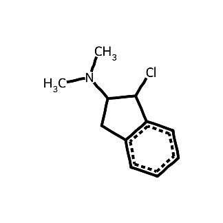 CN(C)C1Cc2ccccc2C1Cl